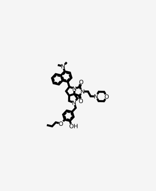 CCCOc1ccc(CN2CC3CC(c4ccc(N(C)C)c5ccccc45)N4C(=O)N(CCN5CCOCC5)C(=O)C34C2)cc1O